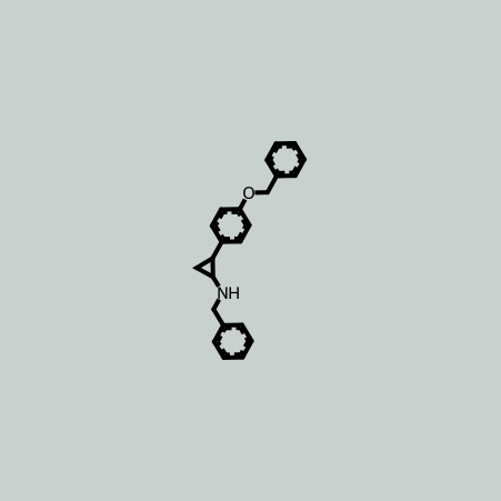 c1ccc(CNC2CC2c2ccc(OCc3ccccc3)cc2)cc1